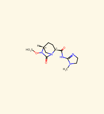 CN1CCN=C1NC(=O)[C@@H]1CC[C@@H]2CN1C(=O)N2OS(=O)(=O)O